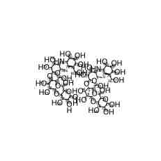 C[C@H]1O[C@H](O[C@H]2[C@H](O)[C@@H](O)[C@@H](O[C@H]3[C@H](O)[C@@H](O)[C@H](O)O[C@@H]3CO)O[C@@H]2CO)[C@H](O)[C@@H](O)[C@@H]1N[C@H]1C=C(CO)[C@@H](O)[C@H](O)[C@H]1O.C[C@H]1O[C@H](O[C@H]2[C@H](O)[C@@H](O)[C@@H](O[C@H]3[C@H](O)[C@@H](O)[C@H](O)O[C@@H]3CO)O[C@@H]2CO)[C@H](O)[C@@H](O)[C@@H]1N[C@H]1C=C(CO)[C@@H](O)[C@H](O)[C@H]1O